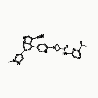 C=C(C)c1cccc(NC(=O)C2CN(c3ccc(-c4cc(-c5cnn(C)c5)cn5ncc(C#N)c45)cn3)C2)n1